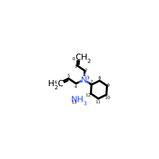 C=CCN(CC=C)C1CCCCC1.N